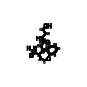 NC(=O)C1CCOc2cc[c]cc2N1CC(=O)NCCO